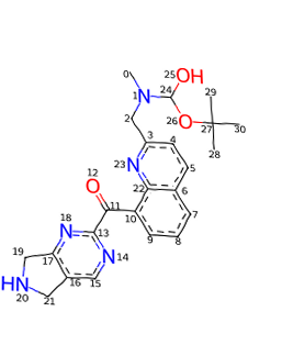 CN(Cc1ccc2cccc(C(=O)c3ncc4c(n3)CNC4)c2n1)C(O)OC(C)(C)C